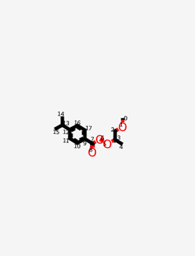 COC[C](C)OOC(=O)c1ccc(C(C)C)cc1